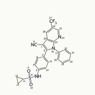 N#Cc1c(-c2ccc(NS(=O)(=O)C3CC3)cc2)n(-c2ccccc2)c2ncc(C(F)(F)F)cc12